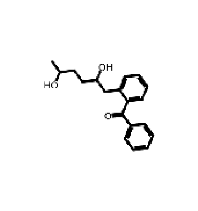 CC(O)CCC(O)Cc1ccccc1C(=O)c1ccccc1